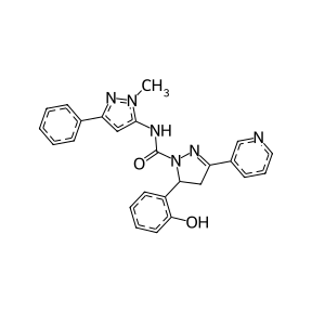 Cn1nc(-c2ccccc2)cc1NC(=O)N1N=C(c2cccnc2)CC1c1ccccc1O